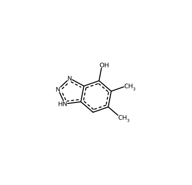 Cc1cc2[nH]nnc2c(O)c1C